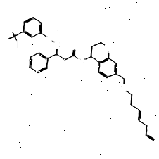 C=CCC=CCCNCc1ccc2c(c1)OCCC2NC(=O)CC(NS(=O)(=O)c1cccc(C(F)(F)F)c1)c1ccccc1